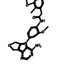 COc1cc(-n2c3c(c4ncnc(N)c42)COC3)ccc1NC(=O)Cc1cccc(OC)c1C